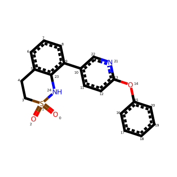 O=S1(=O)CCc2cccc(-c3ccc(Oc4ccccc4)nc3)c2N1